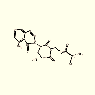 CCC(C)[C@H](N)C(=O)OCN1C(=O)CCC(n2nnc3cccc(N)c3c2=O)C1=O.Cl